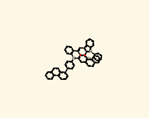 CC1CC(c2ccccc2N(c2ccc(-c3cccc4c3ccc3ccccc34)cc2)c2ccc3c(ccc4ccccc43)c2)=Cc2c1n(-c1ccccc1)c1ccccc21